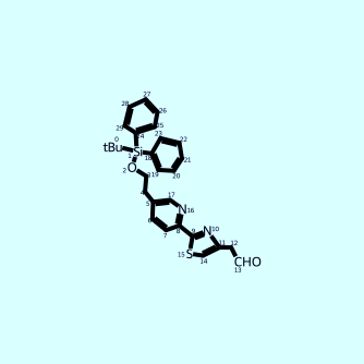 CC(C)(C)[Si](OCCc1ccc(-c2nc(CC=O)cs2)nc1)(c1ccccc1)c1ccccc1